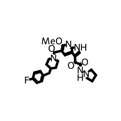 COc1nc2[nH]cc(C(=O)C(=O)NN3CCCC3)c2cc1C(=O)N1CCC(Cc2ccc(F)cc2)CC1